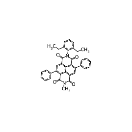 CCc1cccc(CC)c1N1C(=O)c2cc(-c3ccccc3)c3c4c(cc(-c5ccccc5)c(c24)C1=O)C(=O)N(C)C3=O